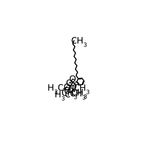 CCCCCCCCCCCCc1ccccc1S(=O)(=O)[O][Ti](=[O])([O]C(C)C)([CH](C)C)[CH](C)C